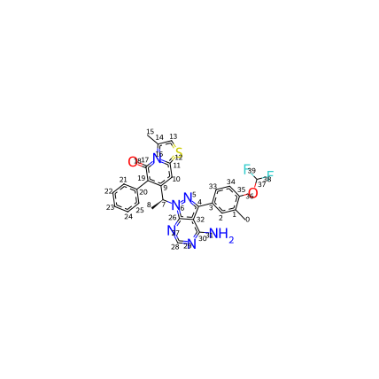 Cc1cc(-c2nn([C@@H](C)c3cc4scc(C)n4c(=O)c3-c3ccccc3)c3ncnc(N)c23)ccc1OC(F)F